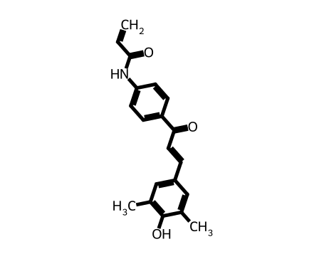 C=CC(=O)Nc1ccc(C(=O)C=Cc2cc(C)c(O)c(C)c2)cc1